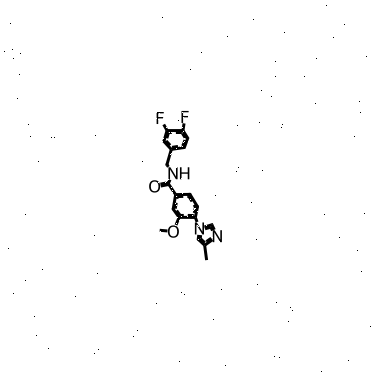 COc1cc(C(=O)NCc2ccc(F)c(F)c2)ccc1-n1cnc(C)c1